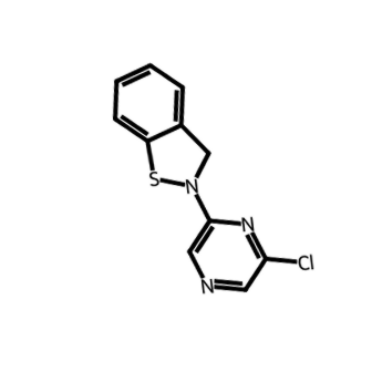 Clc1cncc(N2Cc3ccccc3S2)n1